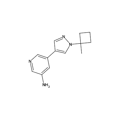 CC1(n2cc(-c3cncc(N)c3)cn2)CCC1